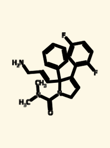 CN(C)C(=O)N1CC=C(c2cc(F)ccc2F)C1(C=CCN)c1ccccc1